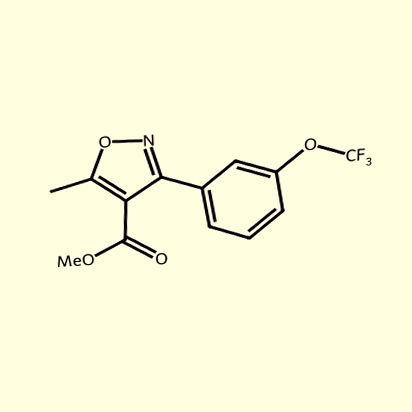 COC(=O)c1c(-c2cccc(OC(F)(F)F)c2)noc1C